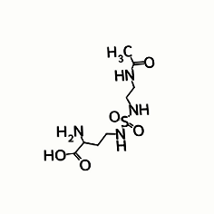 CC(=O)NCCNS(=O)(=O)NCCC(N)C(=O)O